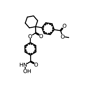 COC(=O)c1ccc(C2(C(=O)Oc3ccc(C(=O)NO)cc3)CCCCC2)cc1